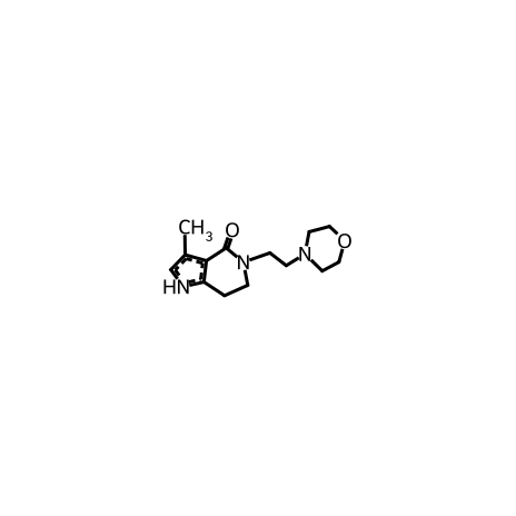 Cc1c[nH]c2c1C(=O)N(CCN1CCOCC1)CC2